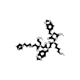 C=CCN(CC(=O)N(CC(=O)N(CCCCN)CC(=O)N(CC(C)=O)Cc1ccc2c(c1)OCO2)Cc1ccc2c(c1)OCO2)C(=O)CNCCCn1ccnc1